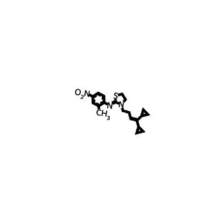 Cc1cc([N+](=O)[O-])ccc1N=C1SCCN1CCC=C(C1CC1)C1CC1